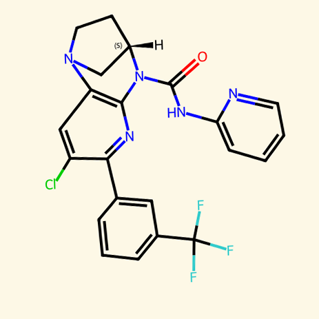 O=C(Nc1ccccn1)N1c2nc(-c3cccc(C(F)(F)F)c3)c(Cl)cc2N2CC[C@H]1C2